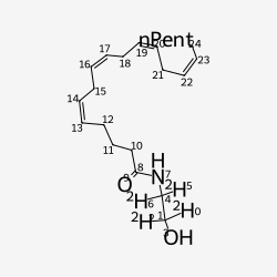 [2H]C([2H])(O)C([2H])([2H])NC(=O)CCC/C=C\C/C=C\C/C=C\C/C=C\CCCCC